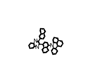 c1ccc2c(c1)-c1cccc3cccc(c13)N2c1ccc(-c2nc3ccccc3nc2-c2ccc3ccccc3c2)c2ccccc12